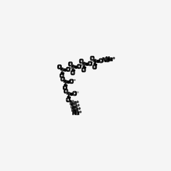 O=P(=O)[O-].O=P(=O)[O-].O=P(=O)[O-].O=P(=O)[O-].O=P(=O)[O-].O=P(=O)[O-].[Na+].[Na+].[Na+].[Na+].[Na+].[Na+]